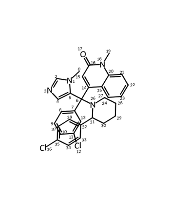 Cn1cncc1C(c1cccc(Cl)c1)(c1cc(=O)n(C)c2ccccc12)N1CCCCC1c1ccc(Cl)cc1